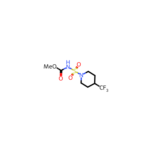 COC(=O)NS(=O)(=O)N1CCC(C(F)(F)F)CC1